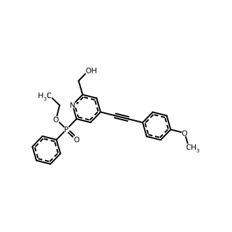 CCOP(=O)(c1ccccc1)c1cc(C#Cc2ccc(OC)cc2)cc(CO)n1